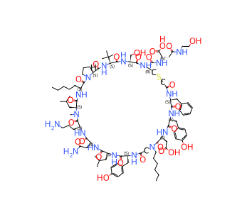 CCCCCCN1CC(=O)N[C@@H](Cc2ccc(O)cc2)C(=O)N[C@@H](CC(C)C)C(=O)N[C@@H](CC(N)=O)C(=O)N[C@@H](CCCN)C(=O)N(C)[C@@H](CC(C)C)C(=O)N[C@@H](CCCCC)C(=O)N2CCC[C@H]2C(=O)N[C@@H](C(C)(C)C)C(=O)N[C@@H](CO)C(=O)N[C@H](C(=O)N[C@@H](CC(=O)NCCO)C(=O)O)CSCC(=O)N[C@@H](Cc2ccccc2)C(=O)N[C@@H](Cc2ccc(O)cc2)C(=O)N[C@@H](CC(=O)O)C1=O